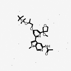 COC1(c2cc(OCC(C)O[Si](C)(C)C(C)(C)C)cc(-c3cn(C)c4cnc(NC(C)=O)cc34)n2)CCOC1